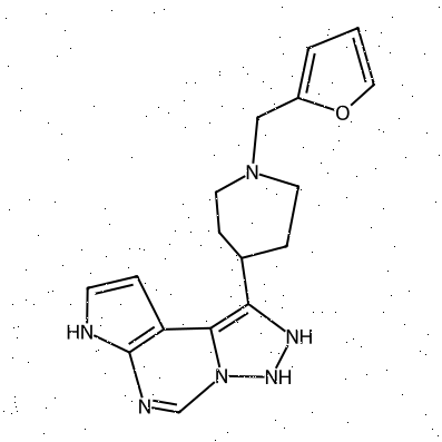 C1=Nc2[nH]ccc2C2=C(C3CCN(Cc4ccco4)CC3)NNN12